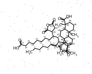 CCCCC/C=C/C(CC(CCCCCCCC(=O)O)C1CC(=O)OC1=O)[C@@H]1C(C(C)C)C2CC3C4(C)CCCC(C)(C(=O)O)C4CCC31C1C(=O)OC(=O)C21